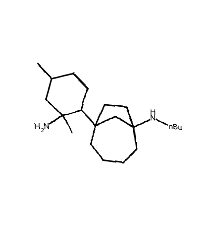 CCCCNC12CCCCC(C3CCC(C)CC3(C)N)(CC1)C2